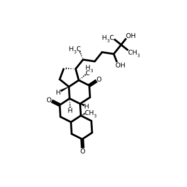 C[C@H](CCC(O)C(C)(C)O)[C@H]1CC[C@H]2[C@@H]3C(=O)CC4CC(=O)CC[C@]4(C)[C@H]3CC(=O)[C@]12C